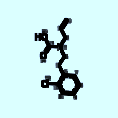 C=CCN(CCc1ccccc1Cl)C(=O)O